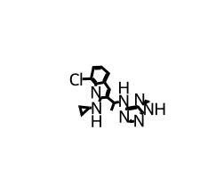 CC(Nc1ncnc2[nH]cnc12)c1cc2cccc(Cl)c2nc1NC1CC1